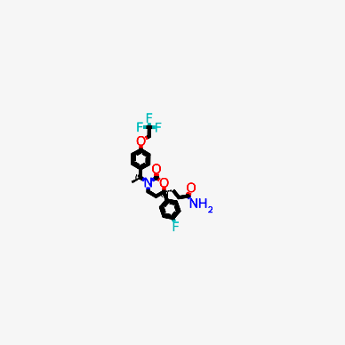 C[C@@H](c1ccc(OCC(F)(F)F)cc1)N1CC[C@](CCC(N)=O)(c2ccc(F)cc2)OC1=O